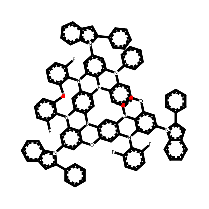 Fc1cccc(F)c1N1c2cc3c(cc2B2c4ccccc4Oc4cc(-n5c(-c6ccccc6)cc6ccccc65)cc1c42)B1c2cc4c(cc2N(c2c(F)cccc2F)c2cc(-n5c(-c6ccccc6)cc6ccccc65)cc(c21)O3)N(c1c(F)cccc1F)c1cc(-n2c(-c3ccccc3)cc3ccccc32)cc2c1B4c1ccccc1N2c1ccccc1